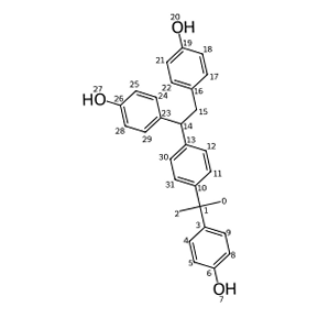 CC(C)(c1ccc(O)cc1)c1ccc(C(Cc2ccc(O)cc2)c2ccc(O)cc2)cc1